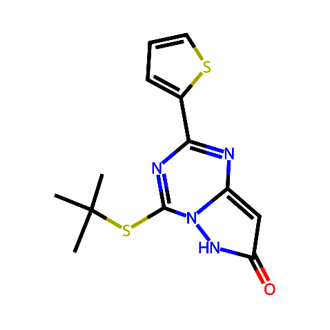 CC(C)(C)Sc1nc(-c2cccs2)nc2cc(=O)[nH]n12